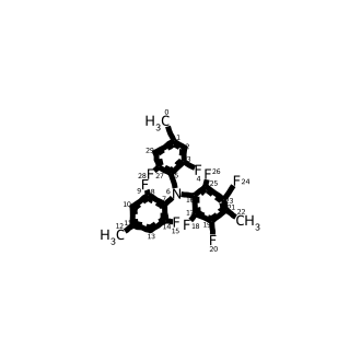 Cc1cc(F)c(N(c2c(F)cc(C)cc2F)c2c(F)c(F)c(C)c(F)c2F)c(F)c1